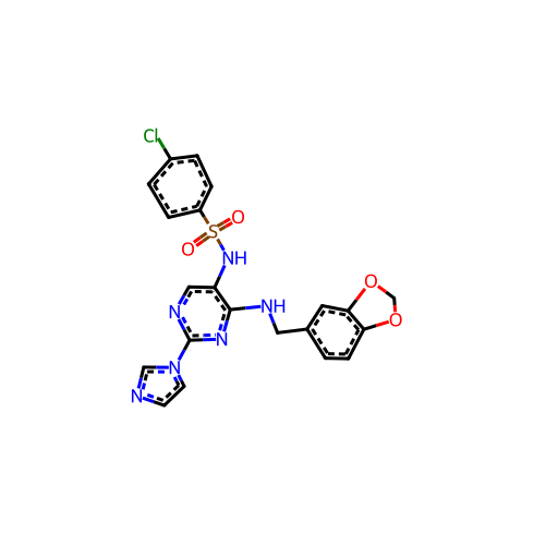 O=S(=O)(Nc1cnc(-n2ccnc2)nc1NCc1ccc2c(c1)OCO2)c1ccc(Cl)cc1